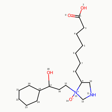 O=C(O)CCCCCCC1CNC[N+]1([O-])CCC(O)C1CCCCC1